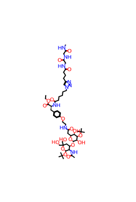 CCOC(=O)[C@H](Cc1ccc(OCCNC(=O)CC2O[C@@H](OC3CC(CO)(CO)OC(OC(C)(C)C)C3NC(C)=O)C(O)C(OC(C)(C)C)[C@@H]2O)cc1)NC(=O)CCCCCn1cc(CCCC(=O)NCC(=O)NCC(=O)NC)nn1